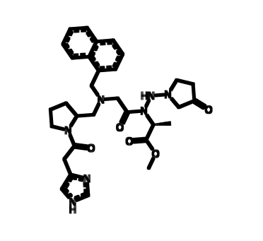 COC(=O)[C@H](C)N(NN1CCC(=O)C1)C(=O)CN(Cc1cccc2ccccc12)CC1CCCN1C(=O)Cc1c[nH]cn1